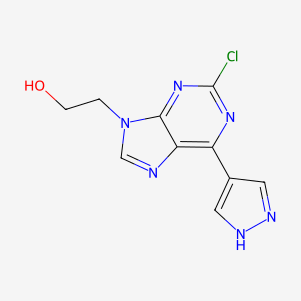 OCCn1cnc2c(-c3cn[nH]c3)nc(Cl)nc21